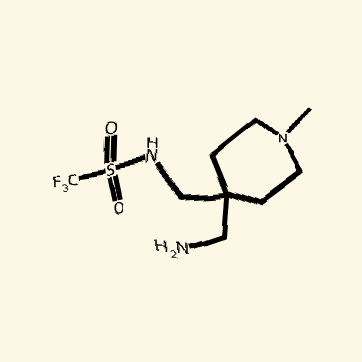 CN1CCC(CN)(CNS(=O)(=O)C(F)(F)F)CC1